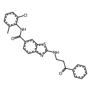 Cc1cccc(Cl)c1NC(=O)c1ccc2nc(NCCC(=O)c3ccccc3)sc2c1